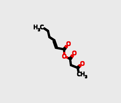 CCCC=CC(=O)OC(=O)CC(C)=O